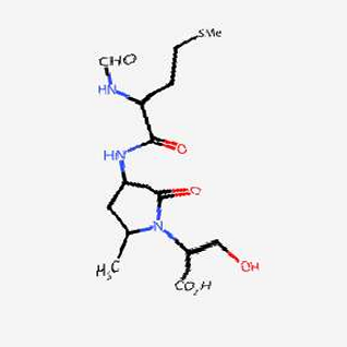 CSCCC(NC=O)C(=O)NC1CC(C)N(C(CO)C(=O)O)C1=O